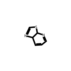 C1=CC2N=CSC2N=C1